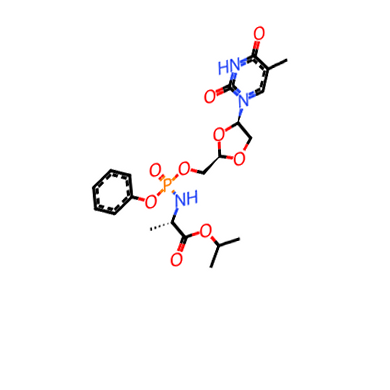 Cc1cn([C@H]2CO[C@@H](COP(=O)(N[C@@H](C)C(=O)OC(C)C)Oc3ccccc3)O2)c(=O)[nH]c1=O